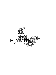 Cc1csc(-c2nc(N)nc3c2nnn3Cc2cccc(C(C)(C)O)n2)n1